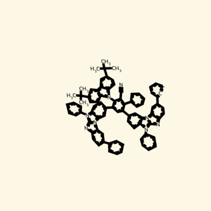 CC(C)(C)c1ccc2c(c1)c1cc(C(C)(C)C)ccc1n2-c1c(-c2ccc3c(c2)n2c4cc(-c5ccccc5)ccc4nc2n3-c2ccccc2)cc(-c2ccc3c(c2)n2c4cc(-c5ccccc5)ccc4nc2n3-c2ccccc2)c(-c2ccccc2)c1C#N